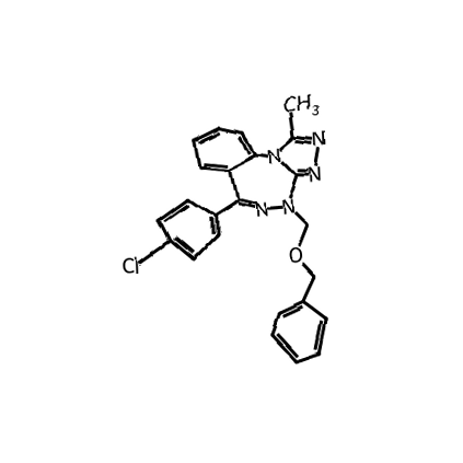 Cc1nnc2n1-c1ccccc1C(c1ccc(Cl)cc1)=NN2COCc1ccccc1